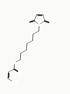 O=C(O)/C=C\C(=O)OCCCCCCCN1C(=O)C=CC1=O